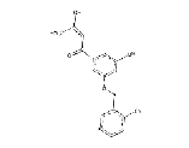 N#Cc1ccccc1COc1cc(O)cc(C(=O)/C=C(/O)C(=O)O)c1